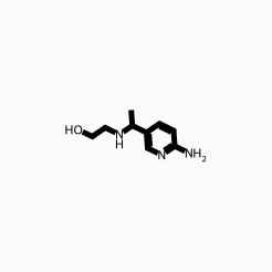 CC(NCCO)c1ccc(N)nc1